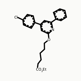 CCOC(=O)CCCCCOc1cc(-c2ccc(Cl)cc2)cc(-c2ccccc2)n1